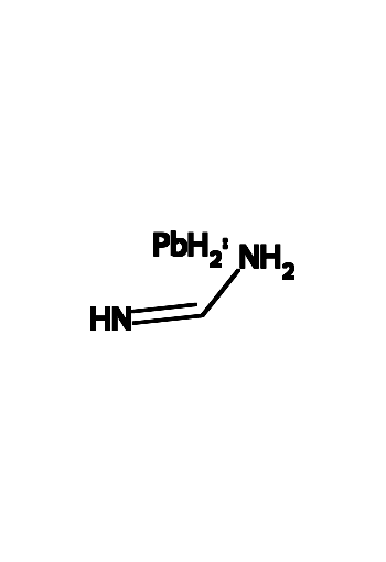 N=CN.[PbH2]